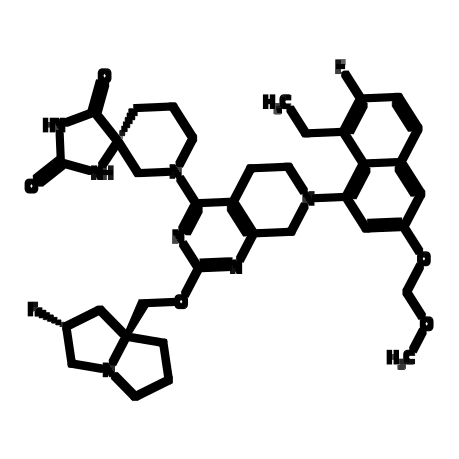 CCc1c(F)ccc2cc(OCOC)cc(N3CCc4c(nc(OC[C@@]56CCCN5C[C@H](F)C6)nc4N4CCC[C@]5(C4)NC(=O)NC5=O)C3)c12